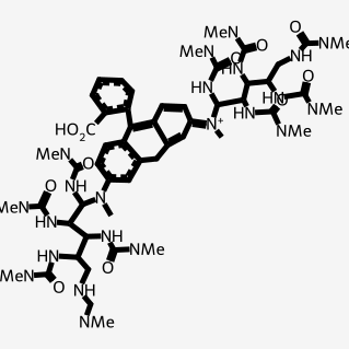 CNCNCC(NC(=O)NC)C(NC(=O)NC)C(NC(=O)NC)C(NC(=O)NC)N(C)c1ccc2c(c1)CC1=C/C(=[N+](\C)C(NC(=O)NC)C(NC(=O)NC)C(NC(=O)NC)C(CNC(=O)NC)NC(=O)NC)C=CC1=C2c1ccccc1C(=O)O